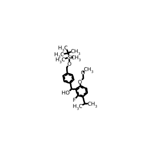 COCOc1ccc(C(C)C)c(F)c1C(O)c1ccc(CO[Si](C)(C)C(C)(C)C)cc1